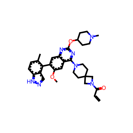 C=CC(=O)N1CC2(CCN(c3nc(OC4CCN(C)CC4)nc4cc(-c5c(C)ccc6[nH]ncc56)c(OC)cc34)CC2)C1